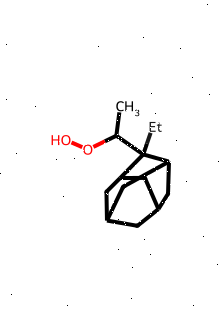 CCC1(C(C)OO)C2CC3CC(C2)CC1C3